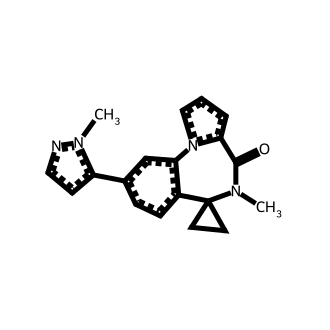 CN1C(=O)c2cccn2-c2cc(-c3ccnn3C)ccc2C12CC2